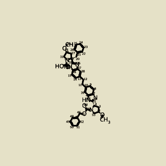 CO[C@@H]1C[C@@H](c2nc3ccc(CCc4ccc5[nH]c([C@]6(Cc7ccccc7)C[C@@H](OC)CN6C(=O)O)nc5c4)cc3[nH]2)N(C(=O)OCc2ccccc2)C1